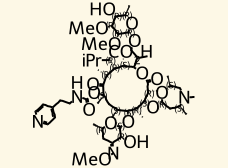 CON=C1C[C@@H](C)O[C@@H](O[C@@H]2[C@@H](C)[C@H](O[C@H]3C[C@H](C)N(C)C[C@H](C)O3)[C@@H](C)C(=O)OC(C(C)CO[C@@H]3O[C@H](C)[C@@H](O)[C@@H](OC)[C@H]3OC)[C@@H](C)[C@@H]([C@H](C(=O)O)C(C)C)[C@@H](C)C(=O)[C@@](C)(OC(=O)NCCc3ccncc3)C[C@@H]2C)[C@@H]1O